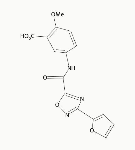 COc1ccc(NC(=O)c2nc(-c3ccco3)no2)cc1C(=O)O